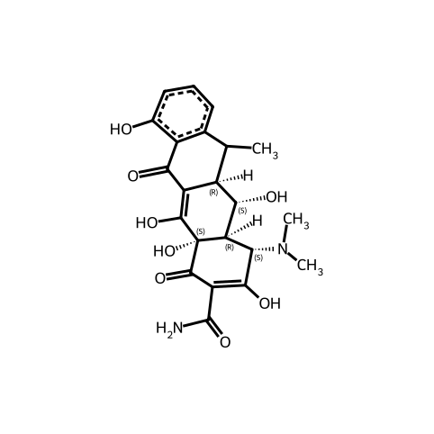 CC1c2cccc(O)c2C(=O)C2=C(O)[C@]3(O)C(=O)C(C(N)=O)=C(O)[C@@H](N(C)C)[C@@H]3[C@@H](O)[C@@H]21